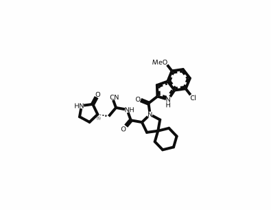 COc1ccc(Cl)c2[nH]c(C(=O)N3CC4(CCCCC4)CC3C(=O)NC(C#N)C[C@@H]3CCNC3=O)cc12